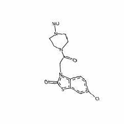 O=NN1CCN(C(=O)Cn2c(=O)sc3cc(Cl)ccc32)CC1